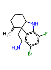 C=C1CCCC2Nc3c(F)cc(Br)cc3C12CCN